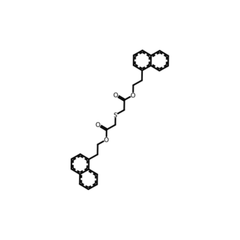 O=C(CSCC(=O)OCCc1cccc2ccccc12)OCCc1cccc2ccccc12